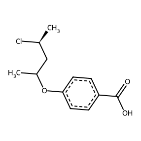 CC(C[C@H](C)Cl)Oc1ccc(C(=O)O)cc1